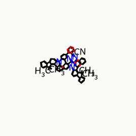 CC1(C)c2ccccc2-c2ccc3c(c21)c1ccccc1n3-c1ccc(-c2cccc(C#N)c2)cc1-c1cccc(-n2c3ccccc3c3c4c(ccc32)-c2ccccc2C4(C)C)c1-c1nc(-c2ccccc2)nc(-c2ccccc2)n1